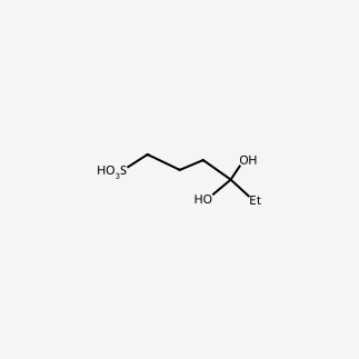 CCC(O)(O)CCCS(=O)(=O)O